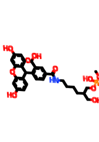 COP(=O)(O)OCC(CO)CCCCNC(=O)c1ccc(C2c3ccc(O)cc3Oc3cc(O)ccc32)c(C(=O)O)c1